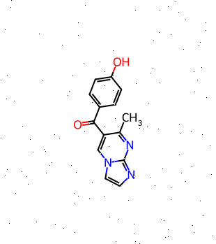 Cc1nc2nccn2cc1C(=O)c1ccc(O)cc1